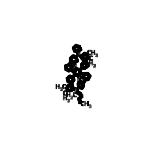 C=C(/C=C\C=C/C)N(c1ccc(C)c(C)c1)c1ccc2c3cccc4c5c(-c6ccccc6)c6c(c(-c7ccccc7)c5n(c2c1)c34)c1cccc2c3ccc(N(c4ccccc4)c4ccc(C)c(C)c4)cc3n6c21